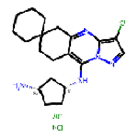 Cl.Cl.N[C@H]1CC[C@@H](Nc2c3c(nc4c(Cl)cnn24)CC2(CCCCC2)CC3)C1